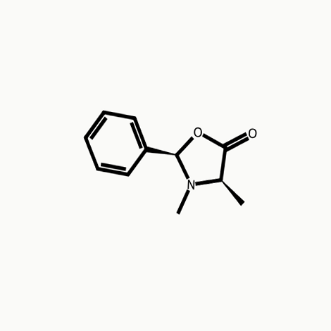 C[C@@H]1C(=O)O[C@H](c2ccccc2)N1C